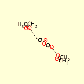 C=C(C)C(=O)OCCCCCCCc1ccc(C(=O)Oc2ccc(OCCCCCOC(=O)C(=C)C)cc2)cc1